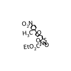 CCOC(=O)CN1C(=O)SC(=Cc2ccc(-c3ccc([N+](=O)[O-])cc3C)o2)C1=O